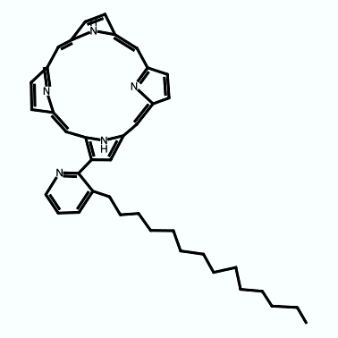 CCCCCCCCCCCCCCc1cccnc1-c1cc2cc3nc(cc4ccc(cc5nc(cc1[nH]2)C=C5)[nH]4)C=C3